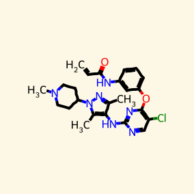 C=CC(=O)Nc1cccc(Oc2nc(Nc3c(C)nn(C4CCN(C)CC4)c3C)ncc2Cl)c1